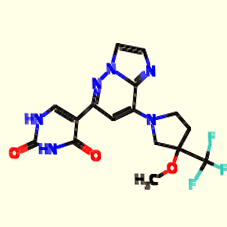 COC1(C(F)(F)F)CCN(c2cc(-c3c[nH]c(=O)[nH]c3=O)nn3ccnc23)C1